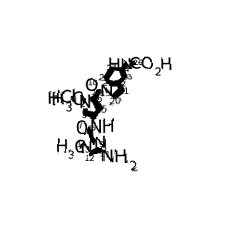 Cl.Cn1cc(NC(=O)c2nc(N)cn2C)cc1C(=O)n1ccc2cc(NC(=O)O)ccc21